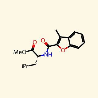 COC(=O)[C@@H](CC(C)C)NC(=O)c1oc2ccccc2c1C